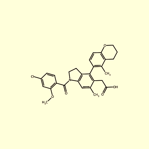 COc1cc(Cl)ccc1C(=O)N1CCc2c1cc(C)c(CC(=O)O)c2-c1ccc2c(c1C)CCCO2